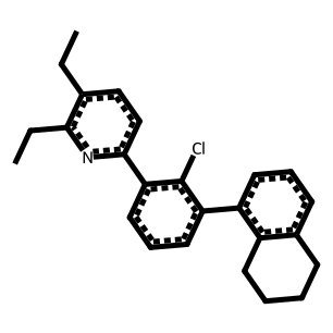 CCc1ccc(-c2cccc(-c3cccc4c3CCCC4)c2Cl)nc1CC